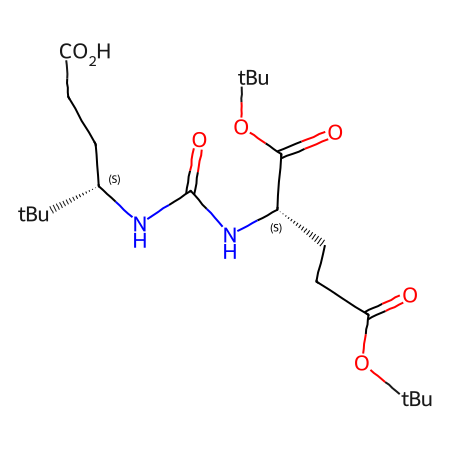 CC(C)(C)OC(=O)CC[C@H](NC(=O)N[C@@H](CCC(=O)O)C(C)(C)C)C(=O)OC(C)(C)C